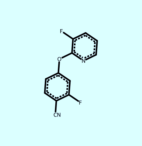 N#Cc1ccc(Oc2ncccc2F)cc1F